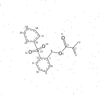 C=C(C)C(=O)OCc1ccccc1S(=O)(=O)c1ccccc1